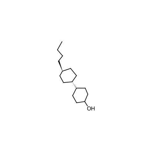 CCCC[C@H]1CC[C@H](C2CCC(O)CC2)CC1